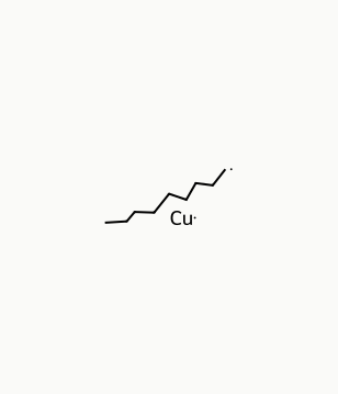 [CH2]CCCCCCCC.[Cu]